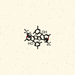 Cc1cc(C)cc(C(O)(c2cc(C)cc(C)c2)c2c(-c3ccc(S(C)(C)C)s3)sc3c(C(O)(c4cc(C)cc(C)c4)c4cc(C)cc(C)c4)c(-c4ccc(S(C)(C)C)s4)sc23)c1